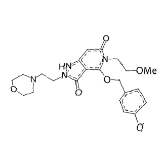 COCCn1c(OCc2ccc(Cl)cc2)c2c(=O)n(CCN3CCOCC3)[nH]c2cc1=O